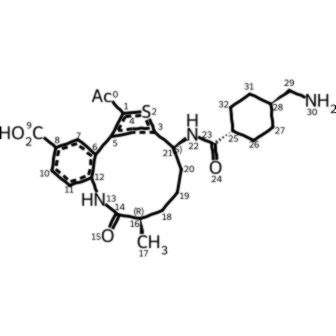 CC(=O)c1sc2cc1-c1cc(C(=O)O)ccc1NC(=O)[C@H](C)CCC[C@@H]2NC(=O)[C@H]1CC[C@H](CN)CC1